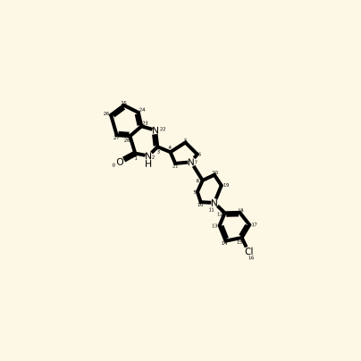 O=c1[nH]c(C2CCN(C3CCN(c4ccc(Cl)cc4)CC3)C2)nc2ccccc12